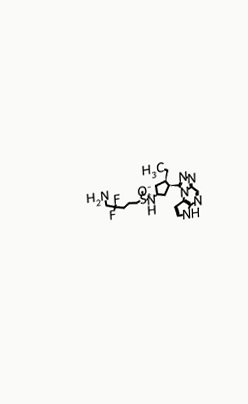 CC[C@@H]1C[C@H](N[S+]([O-])CCCC(F)(F)CN)C[C@@H]1c1nnc2cnc3[nH]ccc3n12